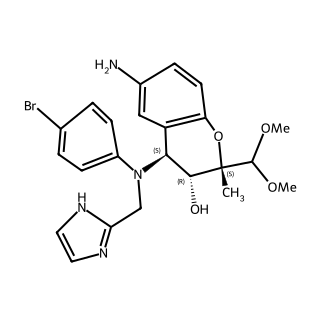 COC(OC)[C@@]1(C)Oc2ccc(N)cc2[C@H](N(Cc2ncc[nH]2)c2ccc(Br)cc2)[C@H]1O